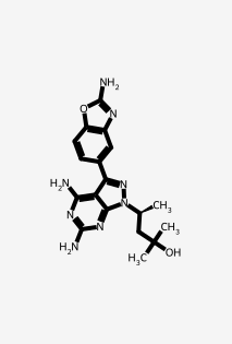 C[C@@H](CC(C)(C)O)n1nc(-c2ccc3oc(N)nc3c2)c2c(N)nc(N)nc21